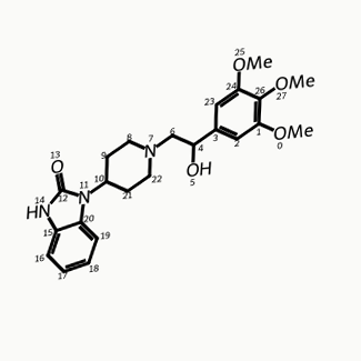 COc1cc(C(O)CN2CCC(n3c(=O)[nH]c4ccccc43)CC2)cc(OC)c1OC